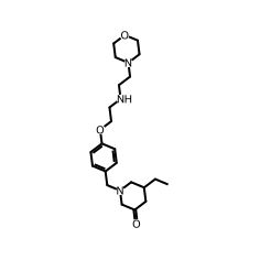 CCC1CC(=O)CN(Cc2ccc(OCCNCCN3CCOCC3)cc2)C1